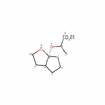 CCOC(=O)C(C)O[C@]12CCCC1CCO2